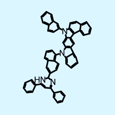 C1=C(c2ccccc2)NC(c2ccc3c(-n4c5ccccc5c5cc6c7c8ccccc8ccc7n(-c7ccc8ccccc8c7)c6cc54)cccc3c2)N=C1c1ccccc1